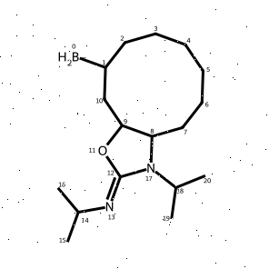 BC1CCCCCCC2C(C1)O/C(=N\C(C)C)N2C(C)C